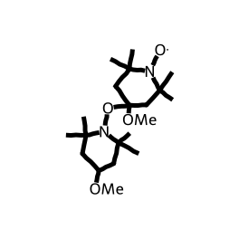 COC1CC(C)(C)N(OC2(OC)CC(C)(C)N([O])C(C)(C)C2)C(C)(C)C1